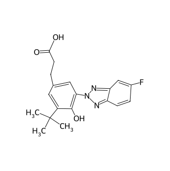 CC(C)(C)c1cc(CCC(=O)O)cc(-n2nc3ccc(F)cc3n2)c1O